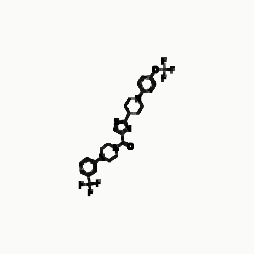 O=C(c1csc(C2CCN(c3ccc(OC(F)(F)F)cc3)CC2)n1)N1CCN(c2cccc(C(F)(F)F)c2)CC1